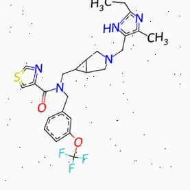 CCc1nc(C)c(CN2CC3C(C2)C3CN(Cc2cccc(OC(F)(F)F)c2)C(=O)c2cscn2)[nH]1